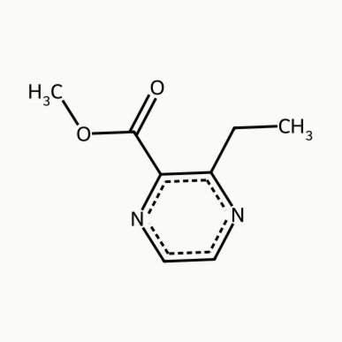 CCc1nccnc1C(=O)OC